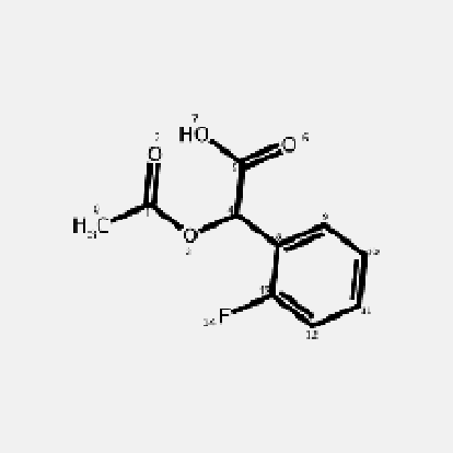 CC(=O)OC(C(=O)O)c1ccccc1F